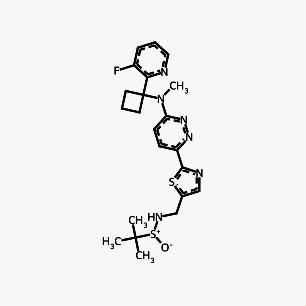 CN(c1ccc(-c2ncc(CN[S+]([O-])C(C)(C)C)s2)nn1)C1(c2ncccc2F)CCC1